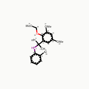 CCCC(C)(Pc1ccccc1C(C)=O)c1cc(OC)cc(OC)c1OCOC